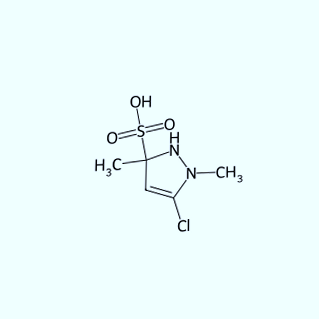 CN1NC(C)(S(=O)(=O)O)C=C1Cl